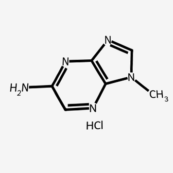 Cl.Cn1cnc2nc(N)cnc21